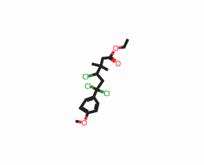 CCOC(=O)CC(C)(C)C(Cl)CC(Cl)(Cl)c1ccc(OC)cc1